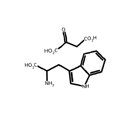 NC(Cc1c[nH]c2ccccc12)C(=O)O.O=C(O)CC(=O)C(=O)O